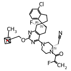 C=C(F)C(=O)N1CCN(c2nc(OCC3C4CC(C4)N3C)nc3c2CC[C@@]2(CCc4c(Cl)cccc42)[C@H]3F)C[C@@H]1CC#N